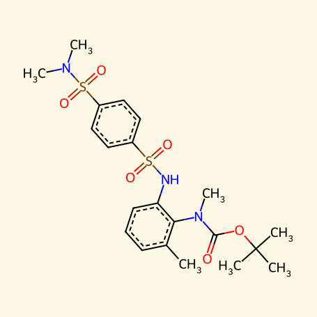 Cc1cccc(NS(=O)(=O)c2ccc(S(=O)(=O)N(C)C)cc2)c1N(C)C(=O)OC(C)(C)C